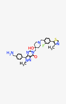 Cc1ncsc1-c1ccc(CN2CCC(O)(Cn3cnc4c(-c5ccc(CN)cc5)n(C)nc4c3=O)CC2)c(F)c1